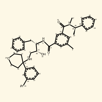 Cc1cc(C(=O)N[C@@H](Cc2ccccc2)[C@H](O)CNC2(c3cccc(C(C)C)c3)CCOCC2)cc(C(=O)N(C)[C@H](C)c2ccccc2)c1